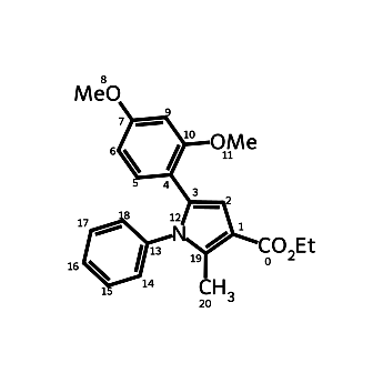 CCOC(=O)c1cc(-c2ccc(OC)cc2OC)n(-c2ccccc2)c1C